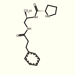 O=C(CCc1ccccc1)NC[C@H](NC(=O)[C@@H]1CCCN1)C(=O)O